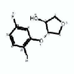 O[C@H]1COC[C@@H]1Oc1cc(F)ccc1I